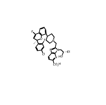 CC[C@H](O)Cn1c(CN2CCC(c3cccc4c3O[C@@](C)(c3ccc(Cl)cc3F)C=C4F)CC2)nc2ccc(C(=O)O)nc21